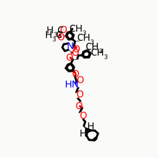 CC[C@H](C(=O)N1CCCC[C@H]1C(=O)O[C@H](CCc1ccc(C)c(C)c1)c1cccc(OCC(=O)NCCOCCOCCOCCC[C@@H]2[C@@H]3CCC#CCC[C@@H]32)c1)c1cc(C)c(OC)c(OC)c1